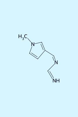 Cn1ccc(/C=N\C=N)c1